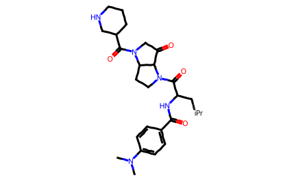 CC(C)CC(NC(=O)c1ccc(N(C)C)cc1)C(=O)N1CCC2C1C(=O)CN2C(=O)C1CCCNC1